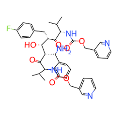 CC(C)[C@H](NC(=O)OCc1cccnc1)C(=O)[C@@H](Cc1ccc(F)cc1)[C@@H](O)[C@@H](C(=O)[C@@H](NC(=O)OCc1cccnc1)C(C)C)C(N)c1ccccc1